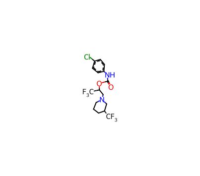 O=C(Nc1ccc(Cl)cc1)OC(CN1CCCC(C(F)(F)F)C1)C(F)(F)F